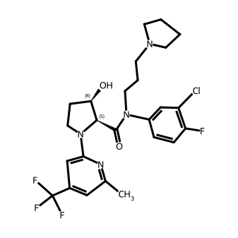 Cc1cc(C(F)(F)F)cc(N2CC[C@@H](O)[C@H]2C(=O)N(CCCN2CCCC2)c2ccc(F)c(Cl)c2)n1